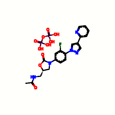 CC(=O)NC[C@H]1CN(c2ccc(-n3cc(-c4ccccn4)cn3)c(F)c2)C(=O)O1.O=P(O)(O)OP(=O)(O)O